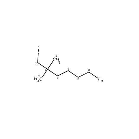 CC(C)(CI)CCCCI